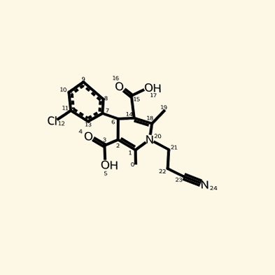 CC1=C(C(=O)O)C(c2cccc(Cl)c2)C(C(=O)O)=C(C)N1CCC#N